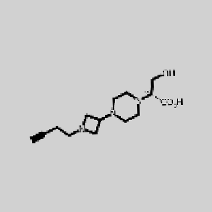 C#CCCN1CC(N2CCN([C@H](CO)C(=O)O)CC2)C1